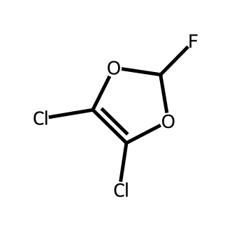 FC1OC(Cl)=C(Cl)O1